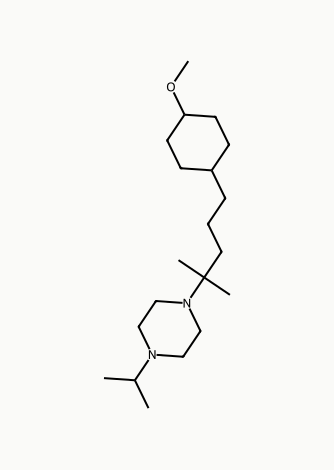 COC1CCC(CCCC(C)(C)N2CCN(C(C)C)CC2)CC1